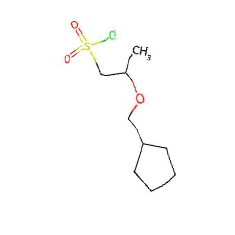 CC(CS(=O)(=O)Cl)OCC1CCCC1